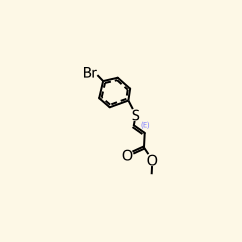 COC(=O)/C=C/Sc1ccc(Br)cc1